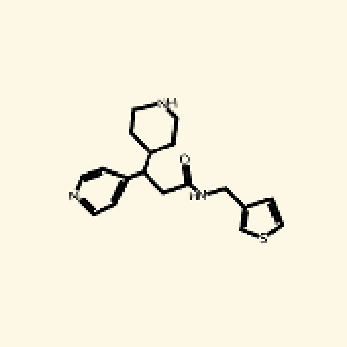 O=C(CC(c1ccncc1)C1CCNCC1)NCc1ccsc1